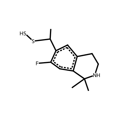 CC(SS)c1cc2c(cc1F)C(C)(C)NCC2